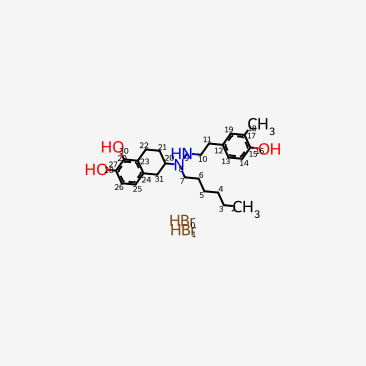 Br.Br.CCCCCCN(NCCc1ccc(O)c(C)c1)C1CCc2c(ccc(O)c2O)C1